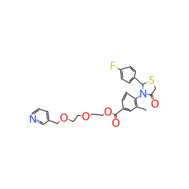 Cc1cc(C(=O)OCCOCCOCc2cccnc2)ccc1N1C(=O)CSC1c1ccc(F)cc1